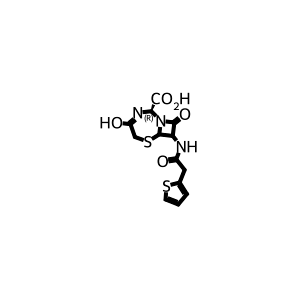 O=C(Cc1cccs1)NC1C(=O)N2C1SCC(O)=N[C@H]2C(=O)O